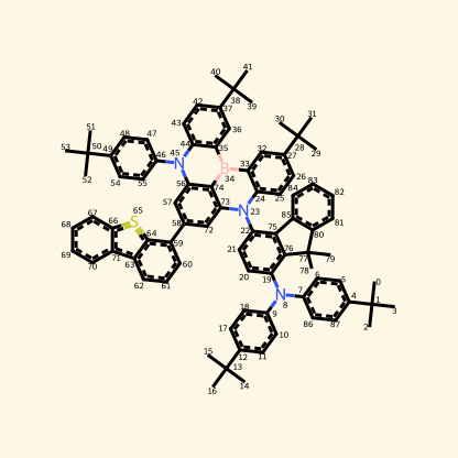 CC(C)(C)c1ccc(N(c2ccc(C(C)(C)C)cc2)c2ccc(N3c4ccc(C(C)(C)C)cc4B4c5cc(C(C)(C)C)ccc5N(c5ccc(C(C)(C)C)cc5)c5cc(-c6cccc7c6sc6ccccc67)cc3c54)c3c2C(C)(C)c2ccccc2-3)cc1